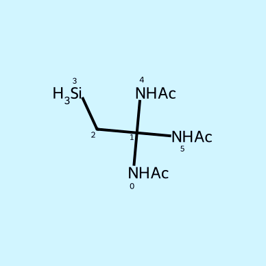 CC(=O)NC(C[SiH3])(NC(C)=O)NC(C)=O